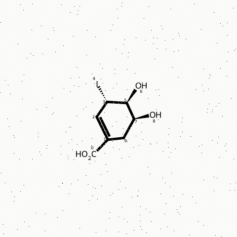 O=C(O)C1=C[C@H](I)[C@@H](O)[C@@H](O)C1